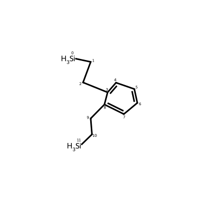 [SiH3]CCc1ccccc1CC[SiH3]